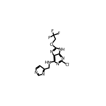 FC(F)(F)COc1nc2c(NCc3ccncn3)nc(Cl)nc2[nH]1